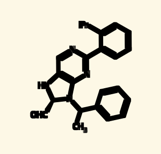 CC(C)c1ccccc1-c1ncc2c(n1)N(C(C)c1ccccc1)[C@@H](C=O)N2